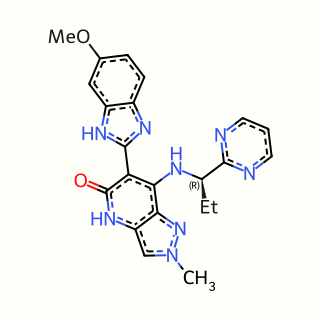 CC[C@@H](Nc1c(-c2nc3ccc(OC)cc3[nH]2)c(=O)[nH]c2cn(C)nc12)c1ncccn1